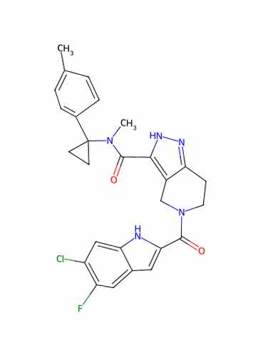 Cc1ccc(C2(N(C)C(=O)c3[nH]nc4c3CN(C(=O)c3cc5cc(F)c(Cl)cc5[nH]3)CC4)CC2)cc1